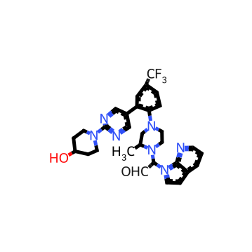 CC1CN(c2ccc(C(F)(F)F)cc2-c2cnc(N3CCC(O)CC3)nc2)CCN1C(C=O)n1ccc2cccnc21